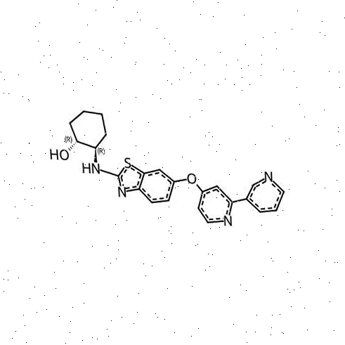 O[C@@H]1CCCC[C@H]1Nc1nc2ccc(Oc3ccnc(-c4cccnc4)c3)cc2s1